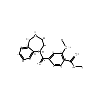 COC(=O)c1ccc(C(=O)N2CCOCc3ccccc32)cc1OC